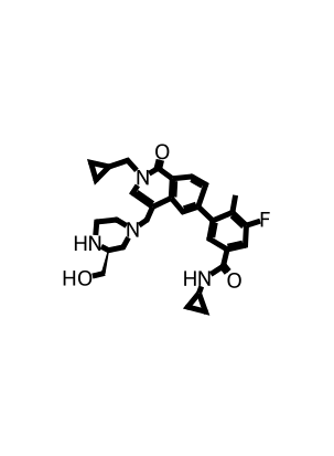 Cc1c(F)cc(C(=O)NC2CC2)cc1-c1ccc2c(=O)n(CC3CC3)cc(CN3CCN[C@H](CO)C3)c2c1